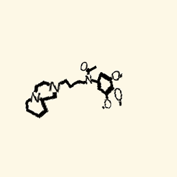 COc1cc(N(CCCCN2CCN3CCCCC3C2)C(C)=O)cc(OC)c1OC